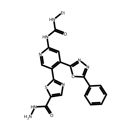 CCNC(=O)Nc1cc(-c2nnc(-c3ccccc3)o2)c(-c2ncc(C(=O)NN)s2)cn1